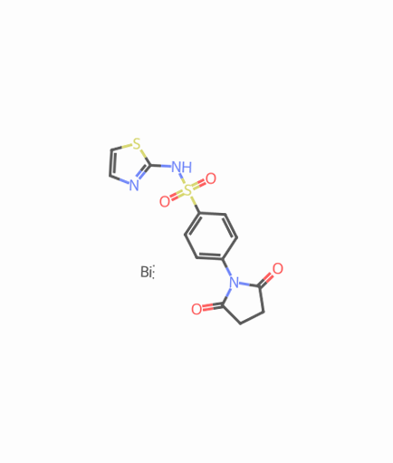 O=C1CCC(=O)N1c1ccc(S(=O)(=O)Nc2nccs2)cc1.[Bi]